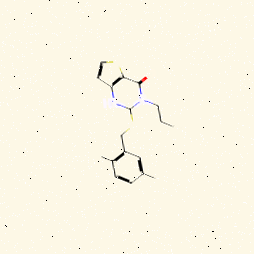 Cc1ccc(C)c(CSC2Nc3ccsc3C(=O)N2CCC(=O)O)c1